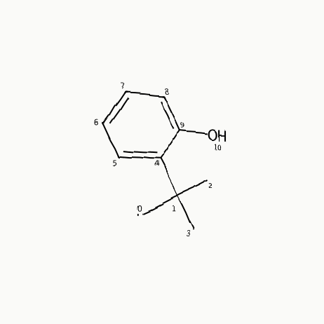 [CH2]C(C)(C)c1ccccc1O